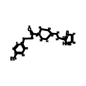 CCc1ccc(CCC(=O)N2CCC(CCc3ncc[nH]3)CC2)cc1